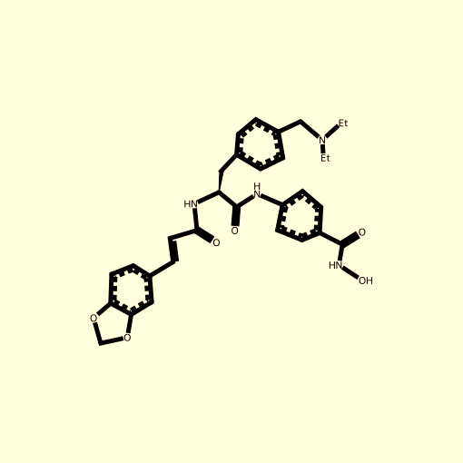 CCN(CC)Cc1ccc(C[C@H](NC(=O)/C=C/c2ccc3c(c2)OCO3)C(=O)Nc2ccc(C(=O)NO)cc2)cc1